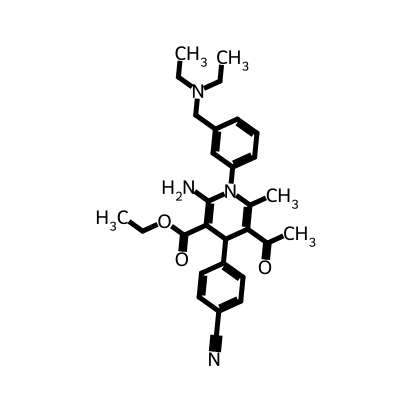 CCOC(=O)C1=C(N)N(c2cccc(CN(CC)CC)c2)C(C)=C(C(C)=O)C1c1ccc(C#N)cc1